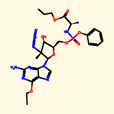 CCCOC(=O)[C@H](C)NP(=O)(OC[C@H]1O[C@@H](n2cnc3c(OCC)nc(N)nc32)[C@](C)(N=[N+]=[N-])[C@@H]1O)Oc1ccccc1